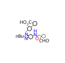 CCCCc1nc2ccc(NC(=O)CC3(CC=O)CCCC3)cc2n1Cc1ccc(-c2ccccc2C(=O)O)cc1